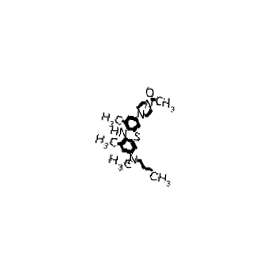 CCCCN(C)c1cc(C)c2c(c1)Sc1cc(N3CCN(C(C)=O)CC3)cc(C)c1N2